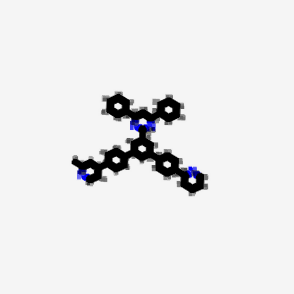 Cc1cc(-c2ccc(-c3cc(-c4ccc(-c5ccccn5)cc4)cc(-c4nc(-c5ccccc5)cc(-c5ccccc5)n4)c3)cc2)ccn1